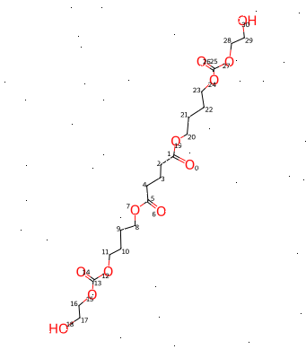 O=C(CCCC(=O)OCCCCOC(=O)OCCO)OCCCCOC(=O)OCCO